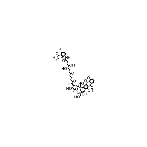 COc1cccc2c1C(=O)c1c(O)c3c(c(O)c1C2=O)C[C@@](O)(C(=O)CO)C[C@H]3OC1C[C@H](NC(=O)CCCC(=O)CCC(O)C(O)CCC(=O)Nc2ccc(OC)c(C(N)=O)c2O)[C@H](O)[C@H](C)O1